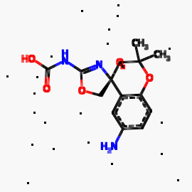 CC1(C)Oc2ccc(N)cc2[C@@]2(COC(NC(=O)O)=N2)C12COC2